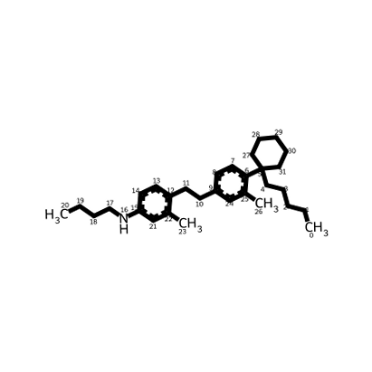 CCCCCC1(c2ccc(CCc3ccc(NCCCC)cc3C)cc2C)CCCCC1